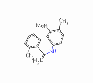 C=C(Nc1ccc(C)c(NC)c1)c1ccccc1C(F)(F)F